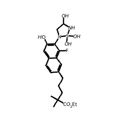 CCOC(=O)C(C)(C)CCCc1ccc2cc(O)c(N3CC(O)NS3(O)O)c(F)c2c1